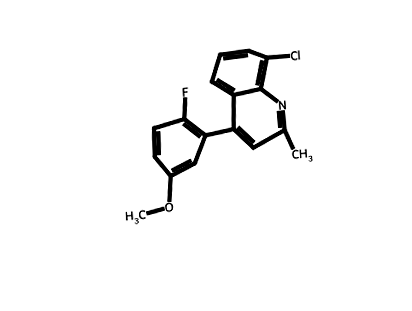 COc1ccc(F)c(-c2cc(C)nc3c(Cl)cccc23)c1